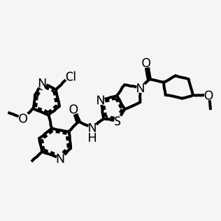 COc1cnc(Cl)cc1-c1cc(C)ncc1C(=O)Nc1nc2c(s1)CN(C(=O)C1CCC(OC)CC1)C2